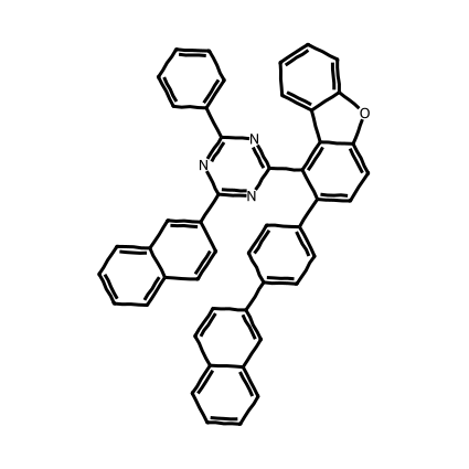 c1ccc(-c2nc(-c3ccc4ccccc4c3)nc(-c3c(-c4ccc(-c5ccc6ccccc6c5)cc4)ccc4oc5ccccc5c34)n2)cc1